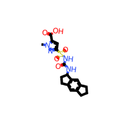 Cn1nc(S(=O)(=O)NC(=O)NC2CCc3cc4c(cc32)CCC4)cc1C(=O)O